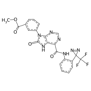 COC(=O)c1cccc(-n2c(=O)[nH]c3c(C(=O)Nc4ccccc4C4(C(F)(F)F)N=N4)ncnc32)c1